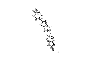 CC1(CN2Cc3nc(N4CCC(F)(F)CC4)sc3C2)Cn2cc([N+](=O)[O-])nc2O1